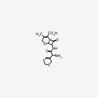 CC1=C(C(=O)O)N2C(=O)C(NC(=O)C(N)C3=CSCSC3)C2SC1